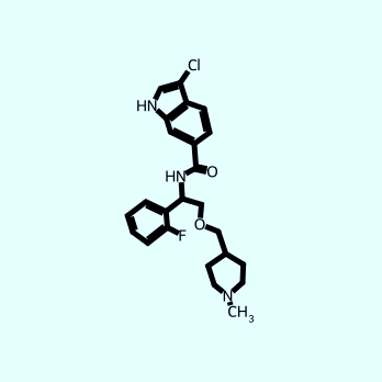 CN1CCC(COCC(NC(=O)c2ccc3c(Cl)c[nH]c3c2)c2ccccc2F)CC1